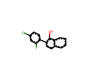 Oc1c(-c2ccc(Cl)cc2F)ccc2ccccc12